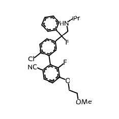 COCCOc1ccc(C#N)c(-c2cc(C(F)(CNC(C)C)c3ccccc3)ccc2Cl)c1F